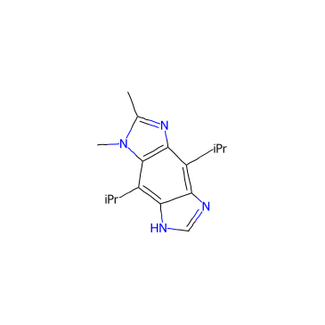 Cc1nc2c(C(C)C)c3nc[nH]c3c(C(C)C)c2n1C